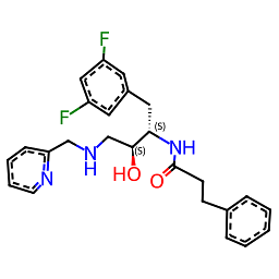 O=C(CCc1ccccc1)N[C@@H](Cc1cc(F)cc(F)c1)[C@@H](O)CNCc1ccccn1